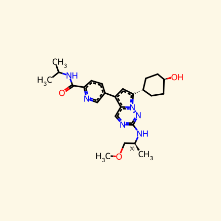 COC[C@H](C)Nc1ncc2c(-c3ccc(C(=O)NC(C)C)nc3)cc([C@H]3CC[C@H](O)CC3)n2n1